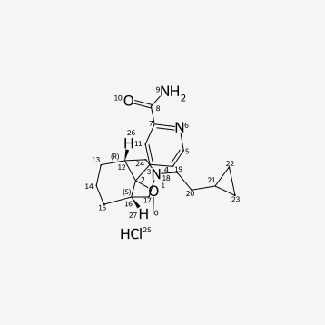 COC1(c2ccnc(C(N)=O)c2)[C@@H]2CCC[C@H]1CN(CCC1CC1)C2.Cl